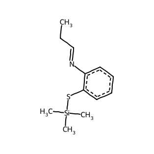 CC/C=N/c1ccccc1S[Si](C)(C)C